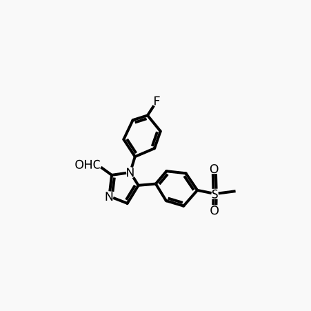 CS(=O)(=O)c1ccc(-c2cnc(C=O)n2-c2ccc(F)cc2)cc1